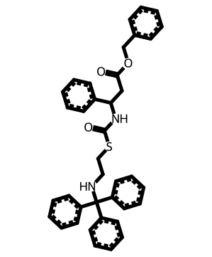 O=C(CC(NC(=O)SCCNC(c1ccccc1)(c1ccccc1)c1ccccc1)c1ccccc1)OCc1ccccc1